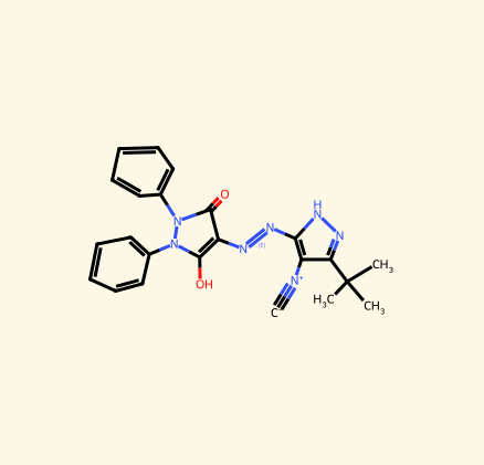 [C-]#[N+]c1c(C(C)(C)C)n[nH]c1/N=N/c1c(O)n(-c2ccccc2)n(-c2ccccc2)c1=O